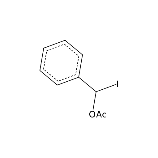 CC(=O)OC(I)c1ccccc1